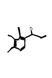 CCC([O])c1ccc(C)c(C)c1C